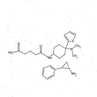 CN(C)C1(c2cccs2)CCC(NC(=O)CCCC(=O)O)CC1.NC1CC1c1ccccc1